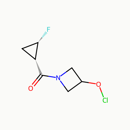 O=C([C@@H]1C[C@@H]1F)N1CC(OCl)C1